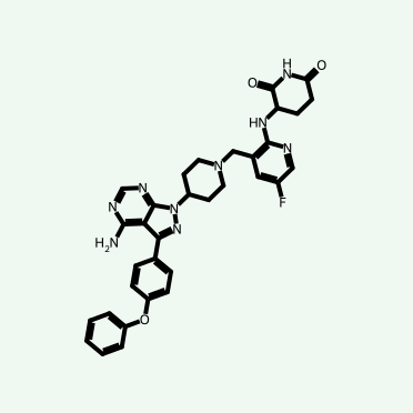 Nc1ncnc2c1c(-c1ccc(Oc3ccccc3)cc1)nn2C1CCN(Cc2cc(F)cnc2NC2CCC(=O)NC2=O)CC1